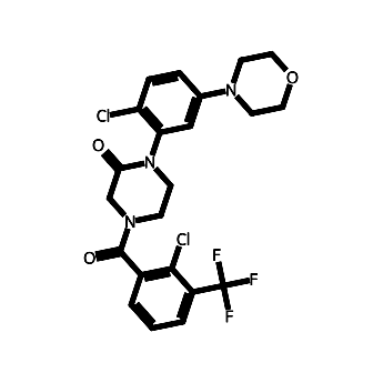 O=C(c1cccc(C(F)(F)F)c1Cl)N1CCN(c2cc(N3CCOCC3)ccc2Cl)C(=O)C1